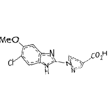 COc1cc2nc(-n3cc(C(=O)O)cn3)[nH]c2cc1Cl